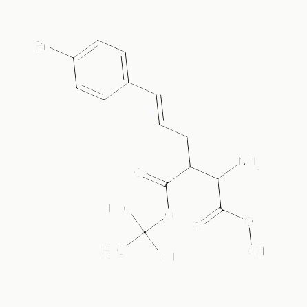 COC(=O)C(N)C(C/C=C/c1ccc(Br)cc1)C(=O)OC(C)(C)C